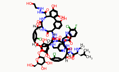 CN[C@H](CC(C)C)C(=O)N[C@H]1C(=O)N[C@@H](CC(N)=O)C(=O)N[C@H]2C(=O)N[C@H]3C(=O)N[C@H](C(=O)N[C@@H](C(=O)NNCCO)c4cc(O)cc(O)c4-c4cc3ccc4O)[C@H](O)c3ccc(c(Cl)c3)Oc3cc2cc(c3O[C@@H]2O[C@H](CO)[C@@H](O)[C@H](O)[C@H]2O[C@H]2C[C@](C)(NCc3cncc(NC(=O)c4ccc(F)c(Cl)c4)c3)[C@H](O)[C@H](C)O2)Oc2ccc(cc2Cl)[C@H]1O